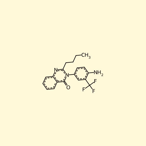 CCCCc1nc2ccccc2c(=O)n1-c1ccc(N)c(C(F)(F)F)c1